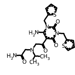 CC(C)N(CC(N)=O)CC(=O)c1c(N)n(Cc2cccs2)c(=O)n(Cc2cccs2)c1=O